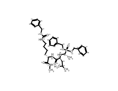 CNC(=O)[C@H](CCCCNC(=O)OCc1ccccc1)NC(=O)[C@H](CC(C)C)N[C@@H](C)P(=O)(OCc1ccccc1)OCc1ccccc1